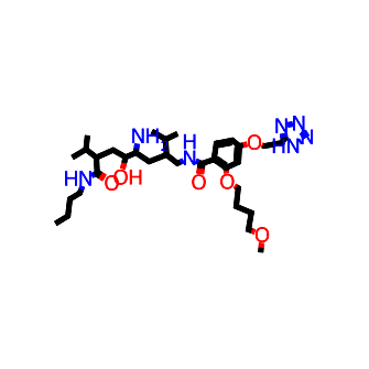 CCCCNC(=O)C(CC(O)C(N)CC(CNC(=O)c1ccc(OCc2nnn[nH]2)cc1OCCCCOC)C(C)C)C(C)C